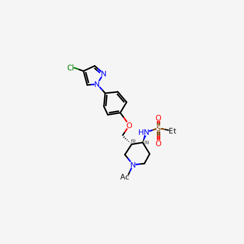 CCS(=O)(=O)N[C@H]1CCN(C(C)=O)C[C@@H]1COc1ccc(-n2cc(Cl)cn2)cc1